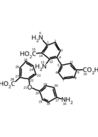 Nc1ccc(-c2cccc(C(=O)O)c2)c(N)c1C(=O)O.Nc1ccc(Oc2ccccc2C(=O)O)cc1